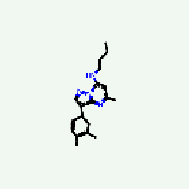 CCCCNc1cc(C)nc2c(C3C=CC(C)=C(C)C3)cnn12